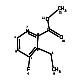 CCc1c(F)ccnc1C(=O)OC